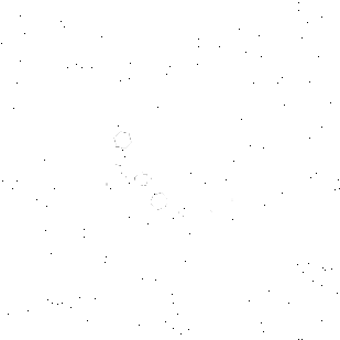 CCCCN(C(=O)Cc1ccc(Cl)cc1F)c1nnc(-c2cc(C)c(CN3CCC(C(=O)OC(C)(C)C)CC3)c(C)c2)s1